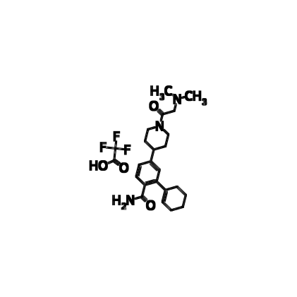 CN(C)CC(=O)N1CCC(c2ccc(C(N)=O)c(C3=CCCCC3)c2)CC1.O=C(O)C(F)(F)F